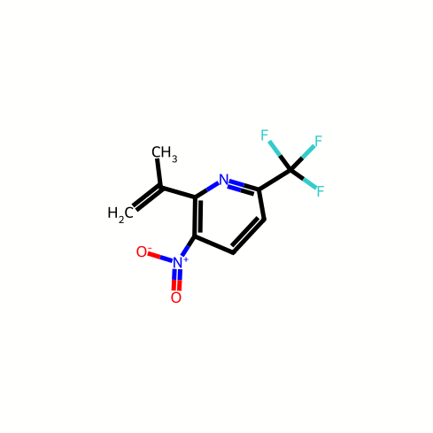 C=C(C)c1nc(C(F)(F)F)ccc1[N+](=O)[O-]